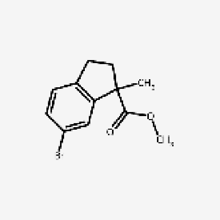 COC(=O)C1(C)CCc2ccc(Br)cc21